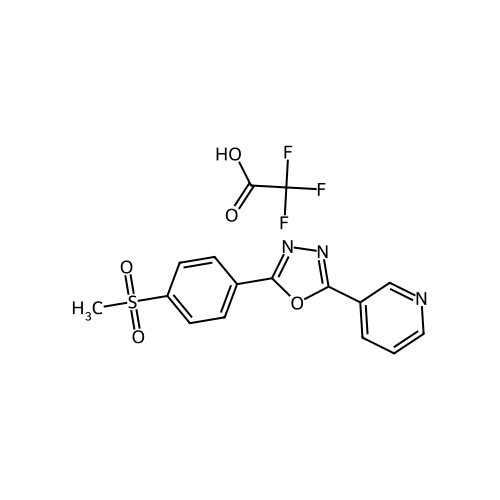 CS(=O)(=O)c1ccc(-c2nnc(-c3cccnc3)o2)cc1.O=C(O)C(F)(F)F